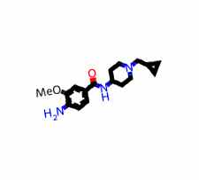 COc1cc(C(=O)NC2CCN(CC3CC3)CC2)ccc1N